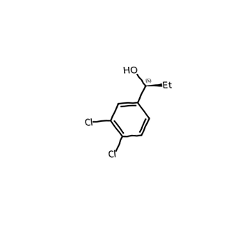 CC[C@H](O)c1ccc(Cl)c(Cl)c1